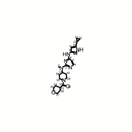 CN(c1nccc(Nc2cc(C3CC3)[nH]n2)n1)C1CCN(C(=O)C2CCOCC2)CC1